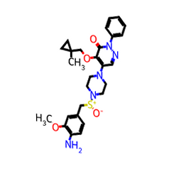 COc1cc(C[S+]([O-])N2CCN(c3cnn(-c4ccccc4)c(=O)c3OCC3(C)CC3)CC2)ccc1N